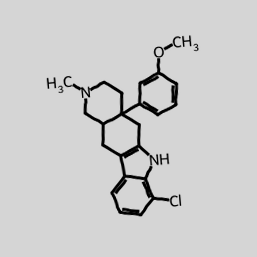 COc1cccc(C23CCN(C)CC2Cc2c([nH]c4c(Cl)cccc24)C3)c1